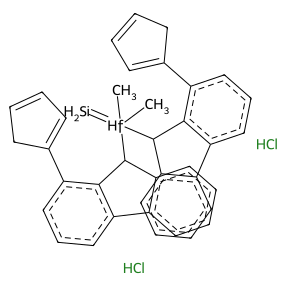 Cl.Cl.[CH3][Hf]([CH3])(=[SiH2])([CH]1c2ccccc2-c2cccc(C3=CC=CC3)c21)[CH]1c2ccccc2-c2cccc(C3=CC=CC3)c21